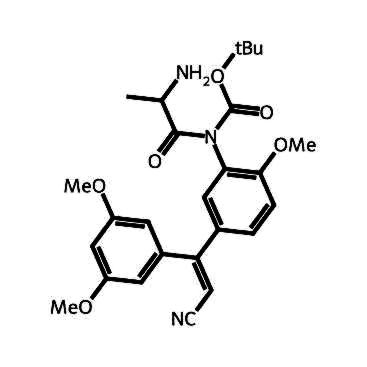 COc1cc(OC)cc(/C(=C\C#N)c2ccc(OC)c(N(C(=O)OC(C)(C)C)C(=O)C(C)N)c2)c1